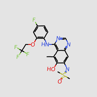 Cc1c(O)c(N=S(C)(C)=O)cc2ncnc(Nc3ccc(F)cc3OCC(F)(F)F)c12